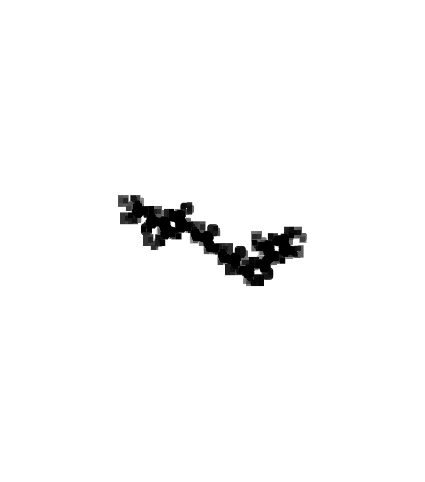 N=C(N)NC(=O)c1nc(Cl)c(NCC(=O)CNCC(=O)NC(=N)NC(=O)c2nc(Cl)c(N)nc2N)nc1N